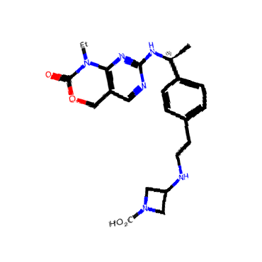 CCN1C(=O)OCc2cnc(N[C@@H](C)c3ccc(CCNC4CN(C(=O)O)C4)cc3)nc21